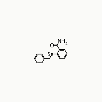 NC(=O)c1ccccc1[Se]Cc1ccccc1